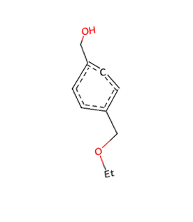 CCOCc1ccc(CO)cc1